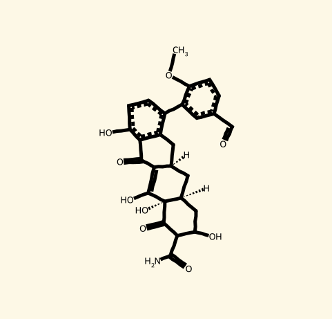 COc1ccc(C=O)cc1-c1ccc(O)c2c1C[C@H]1C[C@H]3CC(O)C(C(N)=O)C(=O)[C@@]3(O)C(O)=C1C2=O